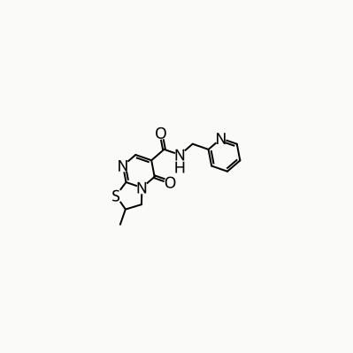 CC1Cn2c(ncc(C(=O)NCc3ccccn3)c2=O)S1